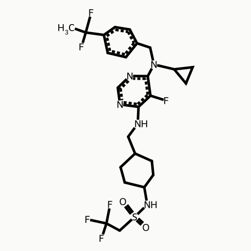 CC(F)(F)c1ccc(CN(c2ncnc(NCC3CCC(NS(=O)(=O)CC(F)(F)F)CC3)c2F)C2CC2)cc1